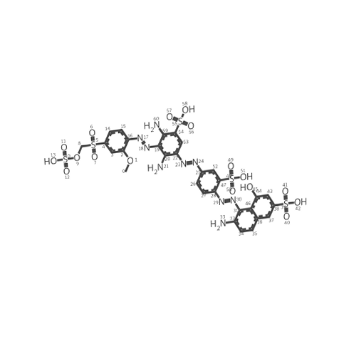 COc1cc(S(=O)(=O)COS(=O)(=O)O)ccc1/N=N/c1c(N)c(/N=N/c2ccc(/N=N/c3c(N)ccc4cc(S(=O)(=O)O)cc(O)c34)c(S(=O)(=O)O)c2)cc(S(=O)(=O)O)c1N